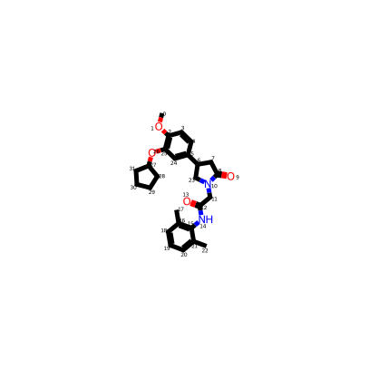 COc1ccc(C2CC(=O)N(CC(=O)Nc3c(C)cccc3C)C2)cc1OC1CCCC1